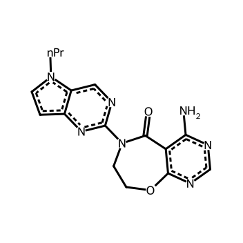 CCCn1ccc2nc(N3CCOc4ncnc(N)c4C3=O)ncc21